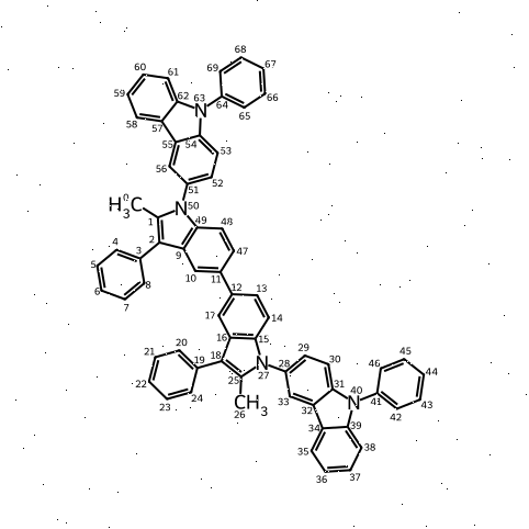 Cc1c(-c2ccccc2)c2cc(-c3ccc4c(c3)c(-c3ccccc3)c(C)n4-c3ccc4c(c3)c3ccccc3n4-c3ccccc3)ccc2n1-c1ccc2c(c1)c1ccccc1n2-c1ccccc1